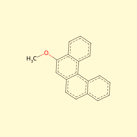 COc1cc2ccc3ccccc3c2c2ccccc12